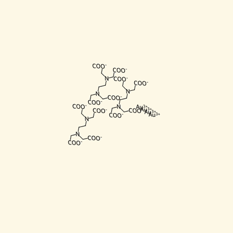 O=C([O-])CN(CCN(CC(=O)[O-])CC(=O)[O-])CC(=O)[O-].O=C([O-])CN(CCN(CC(=O)[O-])CC(=O)[O-])CC(=O)[O-].O=C([O-])CN(CCN(CC(=O)[O-])CC(=O)[O-])CC(=O)[O-].[Au+3].[Au+3].[Au+3].[Au+3]